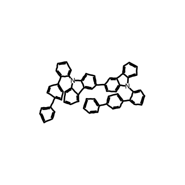 c1ccc(-c2ccc(-c3ccccc3-n3c4ccccc4c4cc(-c5ccc6c(c5)c5ccccc5n6-c5ccccc5-c5ccc(-c6ccccc6)cc5)ccc43)cc2)cc1